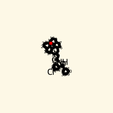 O=C(CN1Cc2ccc3ccccc3c2-c2c(ccc3ccccc23)C1)Nc1ccc(Cl)cc1C(=O)c1ccccc1